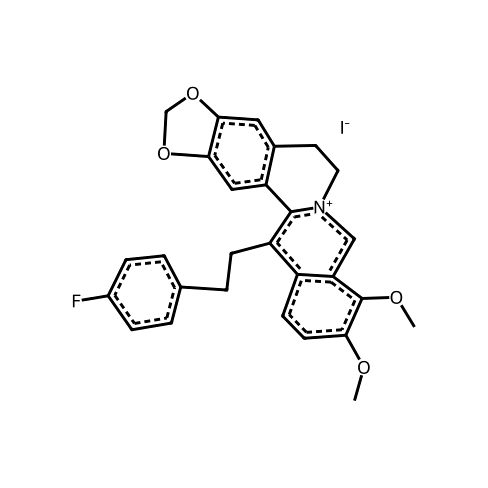 COc1ccc2c(CCc3ccc(F)cc3)c3[n+](cc2c1OC)CCc1cc2c(cc1-3)OCO2.[I-]